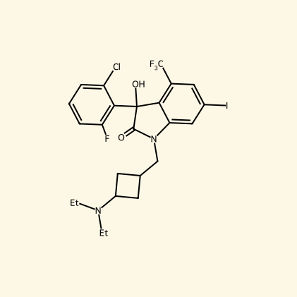 CCN(CC)C1CC(CN2C(=O)C(O)(c3c(F)cccc3Cl)c3c2cc(I)cc3C(F)(F)F)C1